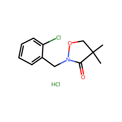 CC1(C)CON(Cc2ccccc2Cl)C1=O.Cl